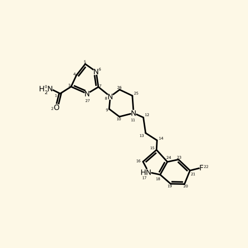 NC(=O)c1ccnc(N2CCN(CCCc3c[nH]c4ccc(F)cc34)CC2)n1